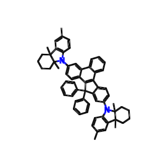 Cc1ccc2c(c1)C1(C)CCCCC1(C)N2c1ccc2c(c1)C(c1ccccc1)(c1ccccc1)c1c-2c2ccccc2c2cc(N3c4ccc(C)cc4C4(C)CCCCC34C)ccc12